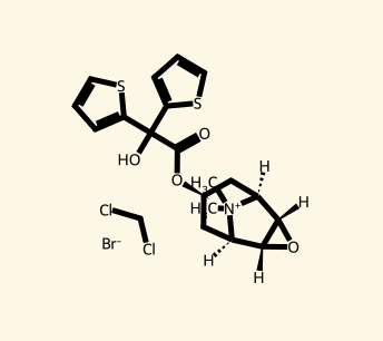 C[N+]1(C)[C@@H]2C[C@@H](OC(=O)C(O)(c3cccs3)c3cccs3)C[C@H]1[C@@H]1O[C@@H]12.ClCCl.[Br-]